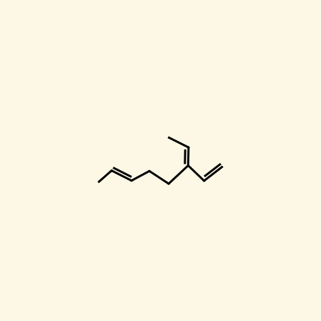 C=CC(=CC)CCC=CC